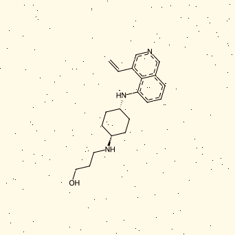 C=Cc1cncc2cccc(N[C@H]3CC[C@H](NCCCO)CC3)c12